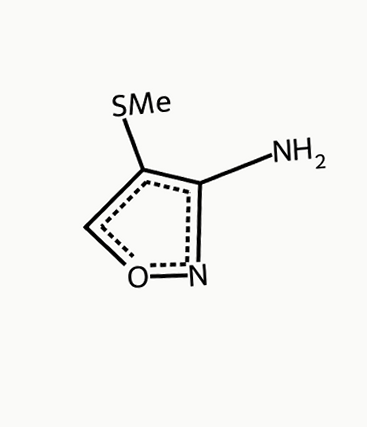 CSc1conc1N